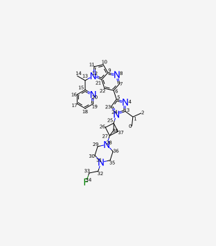 CC(C)c1nc(-c2cnc3ccn(C(C)c4ccccn4)c3c2)cn1C12CC(N3CCN(CCF)CC3)(C1)C2